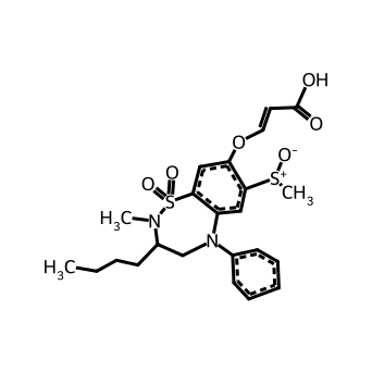 CCCCC1CN(c2ccccc2)c2cc([S+](C)[O-])c(O/C=C/C(=O)O)cc2S(=O)(=O)N1C